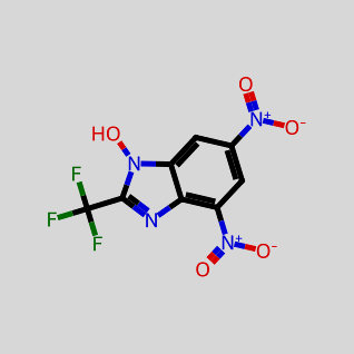 O=[N+]([O-])c1cc([N+](=O)[O-])c2nc(C(F)(F)F)n(O)c2c1